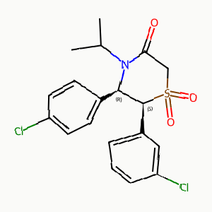 CC(C)N1C(=O)CS(=O)(=O)[C@@H](c2cccc(Cl)c2)[C@H]1c1ccc(Cl)cc1